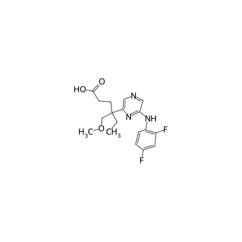 CCC(CCC(=O)O)(COC)c1cncc(Nc2ccc(F)cc2F)n1